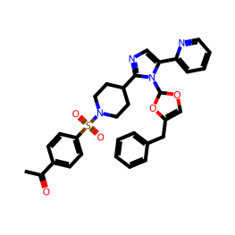 CC(=O)c1ccc(S(=O)(=O)N2CCC(c3ncc(-c4ccccn4)n3C3OC=C(Cc4ccccc4)O3)CC2)cc1